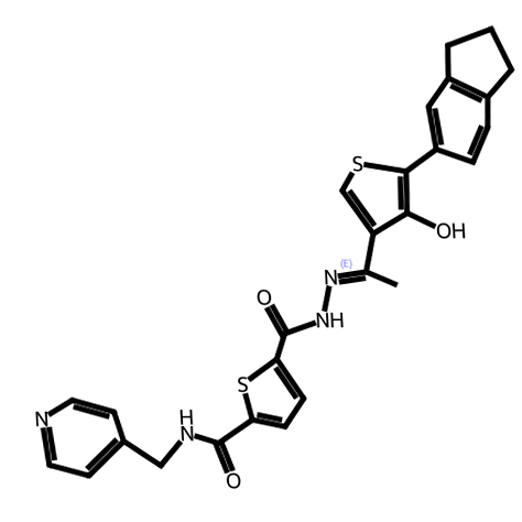 C/C(=N\NC(=O)c1ccc(C(=O)NCc2ccncc2)s1)c1csc(-c2ccc3c(c2)CCC3)c1O